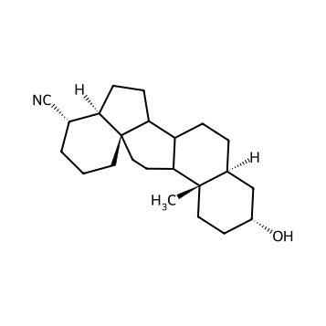 C[C@]12CC[C@@H](O)C[C@@H]1CCC1C3CC[C@@H]4[C@@H](C#N)CCC[C@]34CCC12